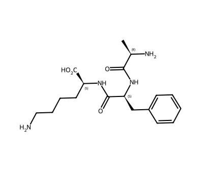 C[C@@H](N)C(=O)N[C@@H](Cc1ccccc1)C(=O)N[C@@H](CCCCN)C(=O)O